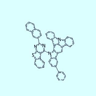 c1ccc(-c2ccc3c(c2)c2cc4c5ccccc5n5c6ccccc6c(c2n3-c2nc(-c3ccc6ccccc6c3)nc3sc6ccccc6c23)c45)cc1